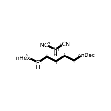 CCCCCCCCCCCCCCPCCCCCC.N#CNC#N